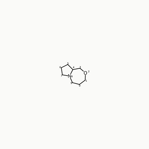 C1COCC2CCCN2C1